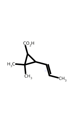 C/C=C/C1C(C(=O)O)C1(C)C